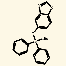 CC(C)(C)[Si](Oc1ccc2scnc2c1)(c1ccccc1)c1ccccc1